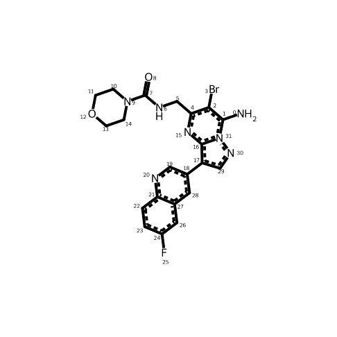 Nc1c(Br)c(CNC(=O)N2CCOCC2)nc2c(-c3cnc4ccc(F)cc4c3)cnn12